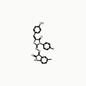 Cc1ccc2c(c1)C(=NN=C1SC(=Cc3ccc(O)cc3)C(=O)N1c1ccc(F)cc1)C(=O)N2